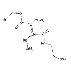 CC/C=C\C(=O)/C(OC(C)=O)=C(\NN)C(=O)NCCOC